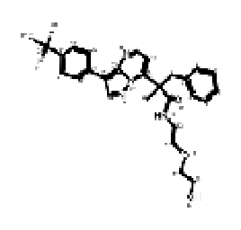 CC(Cc1ccccc1)(C(=O)NCCOCCO)c1ccnc2c(-c3ccc(C(F)(F)F)cc3)cnn12